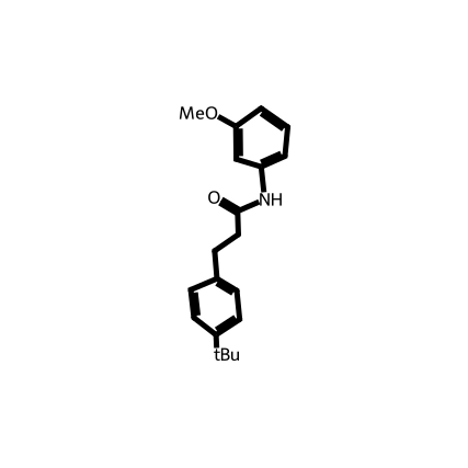 COc1cccc(NC(=O)CCc2ccc(C(C)(C)C)cc2)c1